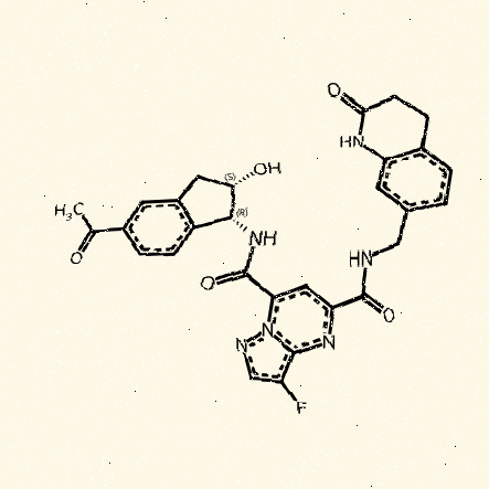 CC(=O)c1ccc2c(c1)C[C@H](O)[C@@H]2NC(=O)c1cc(C(=O)NCc2ccc3c(c2)NC(=O)CC3)nc2c(F)cnn12